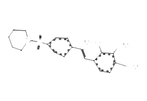 COc1ccc(C=Cc2ccc(S(=O)(=O)N3CCCCC3)cc2)c(OC)c1OC